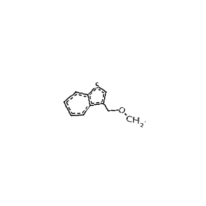 [CH2]OCc1csc2ccccc12